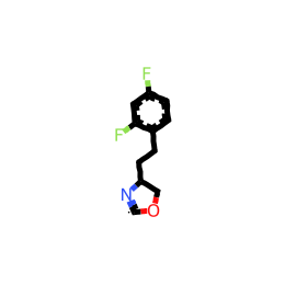 Fc1ccc(CCC2CO[C]=N2)c(F)c1